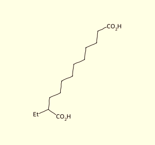 CCC(CCCCCCCCCC(=O)O)C(=O)O